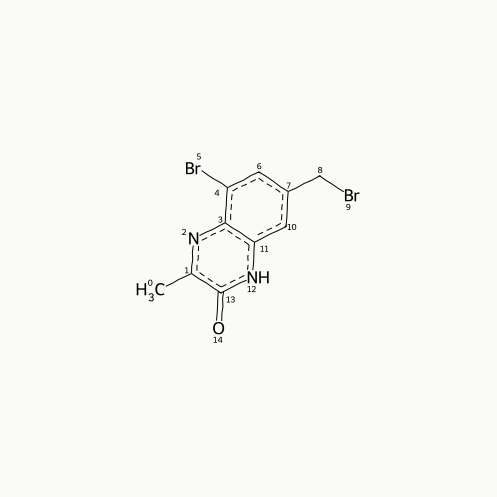 Cc1nc2c(Br)cc(CBr)cc2[nH]c1=O